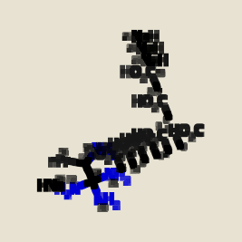 CC(=O)O.CC(=O)O.CC(=O)O.CC(=O)O.CC(=O)O.CC(=O)O.CC(=O)O.CC(=O)O.CCCC(N)C(N)(N)N.[NaH].[NaH].[NaH].[NaH]